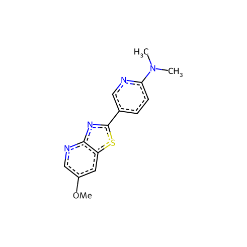 COc1cnc2nc(-c3ccc(N(C)C)nc3)sc2c1